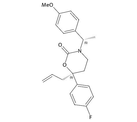 C=CC[C@@]1(c2ccc(F)cc2)CCN([C@@H](C)c2ccc(OC)cc2)C(=O)O1